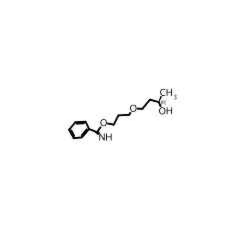 C[C@@H](O)CCOCCCOC(=N)c1ccccc1